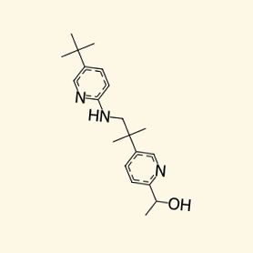 CC(O)c1ccc(C(C)(C)CNc2ccc(C(C)(C)C)cn2)cn1